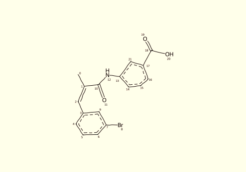 CC(=Cc1cccc(Br)c1)C(=O)Nc1cccc(C(=O)O)c1